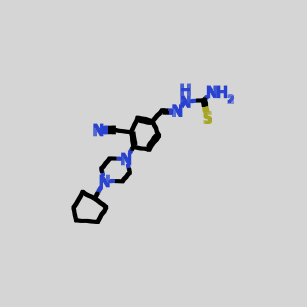 N#Cc1cc(/C=N/NC(N)=S)ccc1N1CCN(C2CCCCC2)CC1